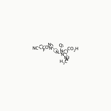 Cn1ccc(-c2cc(C(=O)O)cc3c2nc(CN2CCC(c4ccnc(OCc5ccc(C#N)cc5F)n4)CC2)n3C[C@@H]2CCO2)n1